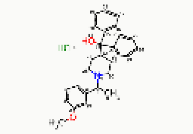 COc1cccc(C(C)N2CCC(C(O)(c3ccccc3)c3ccccc3)CC2)c1.Cl